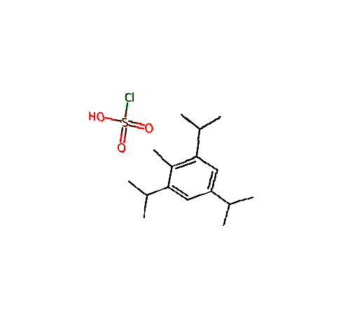 Cc1c(C(C)C)cc(C(C)C)cc1C(C)C.O=S(=O)(O)Cl